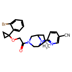 C[C@H]1CC2CN(C(=O)COC3(c4ccccc4Br)CC3)CC1N2c1ccc(C#N)cn1